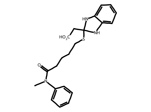 CN(C(=O)CCCCSC1(CC(=O)O)Nc2ccccc2N1)c1ccccc1